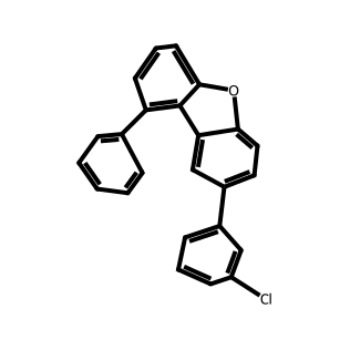 Clc1cccc(-c2ccc3oc4cccc(-c5ccccc5)c4c3c2)c1